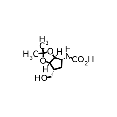 CC1(C)O[C@@H]2[C@@H](CO)C[C@@H](NC(=O)O)[C@@H]2O1